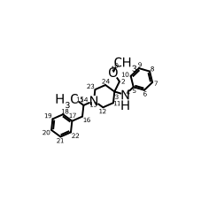 COCC1(Nc2ccccc2)CCN(C(C)Cc2ccccc2)CC1